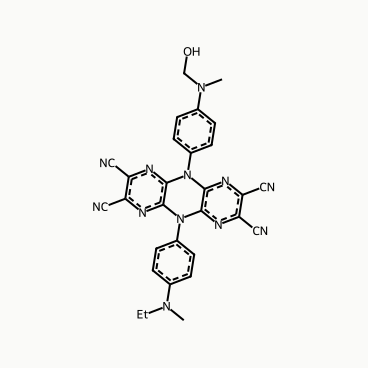 CCN(C)c1ccc(N2c3nc(C#N)c(C#N)nc3N(c3ccc(N(C)CO)cc3)c3nc(C#N)c(C#N)nc32)cc1